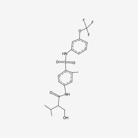 Cc1cc(NC(=O)C(CO)C(C)C)ccc1S(=O)(=O)Nc1cccc(OC(F)(F)F)c1